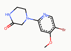 COc1cc(N2CCNC(=O)C2)ncc1Br